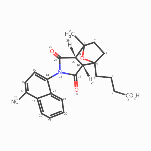 CC12CCC(CCCC(=O)O)(O1)[C@@H]1C(=O)N(c3ccc(C#N)c4ccccc34)C(=O)[C@@H]12